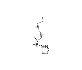 CC/C=C\C=C/N(C)Bn1cccn1